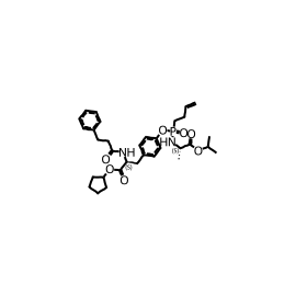 C=CCCP(=O)(N[C@@H](C)C(=O)OC(C)C)Oc1ccc(C[C@H](NC(=O)CCc2ccccc2)C(=O)OC2CCCC2)cc1